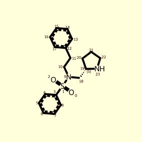 O=S(=O)(c1ccccc1)N(CCc1ccccc1)C[C@@H]1CCCN1